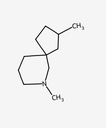 CC1CCC2(CCCN(C)C2)C1